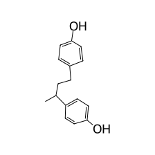 CC(CCc1ccc(O)cc1)c1ccc(O)cc1